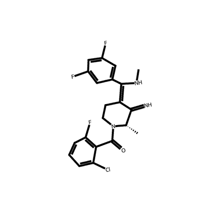 CN/C(=C1/CCN(C(=O)c2c(F)cccc2Cl)[C@@H](C)C1=N)c1cc(F)cc(F)c1